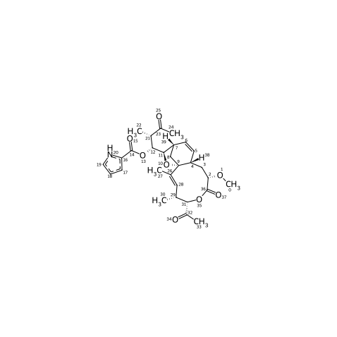 CO[C@H]1C[C@H]2C=C[C@@H]3C[C@]2(O[C@H]3[C@H](OC(=O)c2ccc[nH]2)[C@H](C)C(C)=O)/C(C)=C/[C@@H](C)[C@@H](C(C)=O)OC1=O